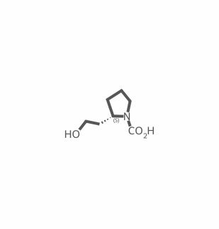 O=C(O)N1CCC[C@H]1CCO